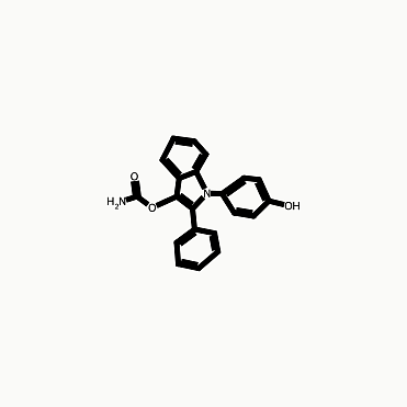 NC(=O)Oc1c(-c2ccccc2)n(-c2ccc(O)cc2)c2ccccc12